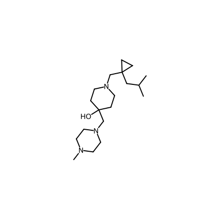 CC(C)CC1(CN2CCC(O)(CN3CCN(C)CC3)CC2)CC1